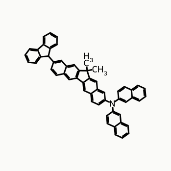 CC1(C)c2cc3cc(C4c5ccccc5-c5ccccc54)ccc3cc2-c2cc3ccc(N(c4ccc5ccccc5c4)c4ccc5ccccc5c4)cc3cc21